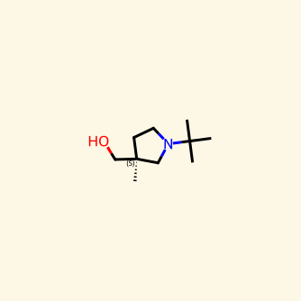 CC(C)(C)N1CC[C@](C)(CO)C1